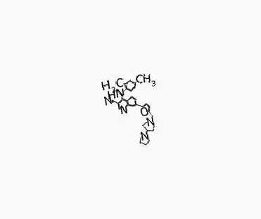 Cc1ccc(Nc2c(C#N)cnc3cc(-c4ccc(CN5CCC(N6CCCC6)CC5)o4)ccc23)c(C)c1